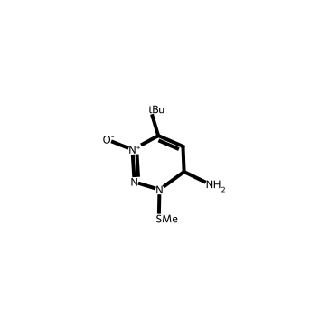 CSN1N=[N+]([O-])C(C(C)(C)C)=CC1N